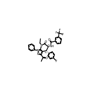 CCN1C(=O)[C@H](NC(=O)c2cccc(C(F)(F)F)c2)[C@H](c2ccc(F)cc2)c2c(C(C)=O)nn(-c3ccccc3)c21